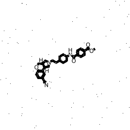 COC(=O)c1ccc(C(=O)NC2CCC(CCN3C[C@H]4COc5ccc(C#N)cc5[C@@H]4C3)CC2)cc1